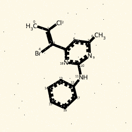 CC(Cl)=C(Br)c1cc(C)nc(Nc2ccccc2)n1